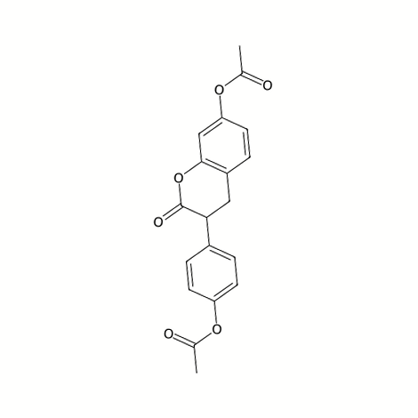 CC(=O)Oc1ccc(C2Cc3ccc(OC(C)=O)cc3OC2=O)cc1